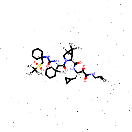 C=CCNC(=O)C(=O)[C@H](CC1CC1)NC(=O)[C@@H]1C2[C@H](CN1C(=O)[C@@H](NC(=O)NC1(CS(=O)(=O)C(C)(C)C)CCCCC1)C1(C)CCCCC1)C2(C)C